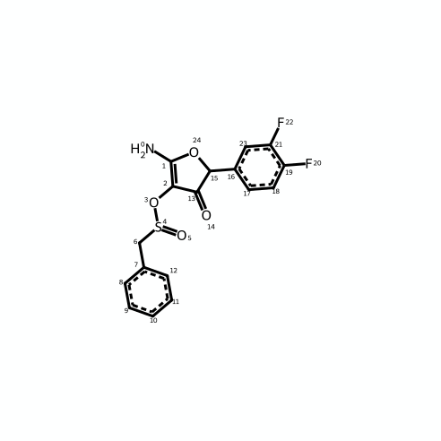 NC1=C(OS(=O)Cc2ccccc2)C(=O)C(c2ccc(F)c(F)c2)O1